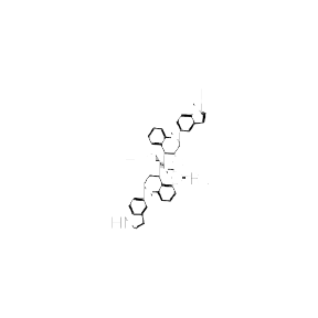 CN(C1CCN(c2ccc3[nH]ccc3c2)c2ccccc21)N(C(=O)OC(C)(C)C)C1CCN(c2ccc3[nH]ccc3c2)c2ccccc21